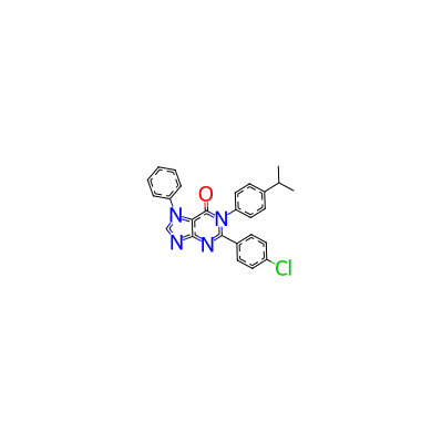 CC(C)c1ccc(-n2c(-c3ccc(Cl)cc3)nc3ncn(-c4ccccc4)c3c2=O)cc1